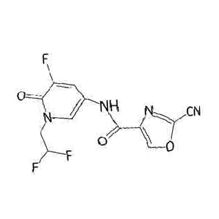 N#Cc1nc(C(=O)Nc2cc(F)c(=O)n(CC(F)F)c2)co1